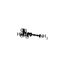 CC(C)(N)C#CC#Cc1cc2n(c1)C(=O)N(CC[C@](C)(C(=O)NO)S(C)(=O)=O)C2